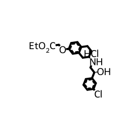 CCOC(=O)COc1ccc2c(c1)C[C@H](NC[C@H](O)c1cccc(Cl)c1)CC2.Cl